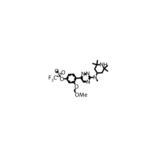 COCOc1cc(OS(=O)(=O)C(F)(F)F)ccc1-c1cnc(N(C)C2CC(C)(C)NC(C)(C)C2)nn1